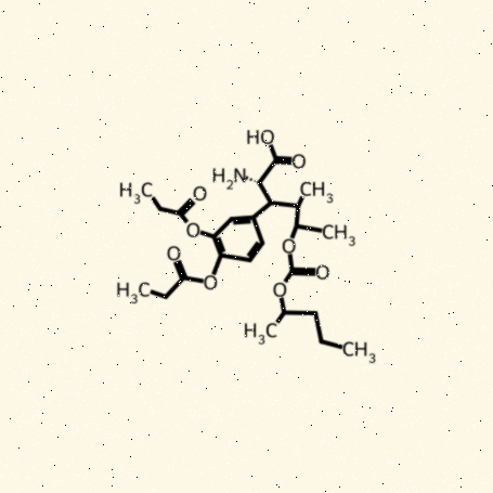 CCCC(C)OC(=O)OC(C)C(C)C(c1ccc(OC(=O)CC)c(OC(=O)CC)c1)[C@H](N)C(=O)O